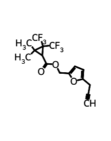 C#CCc1ccc(COC(=O)C2C(C)(C)C2(C(F)(F)F)C(F)(F)F)o1